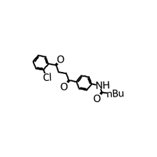 CCCCC(=O)Nc1ccc(C(=O)CCC(=O)c2ccccc2Cl)cc1